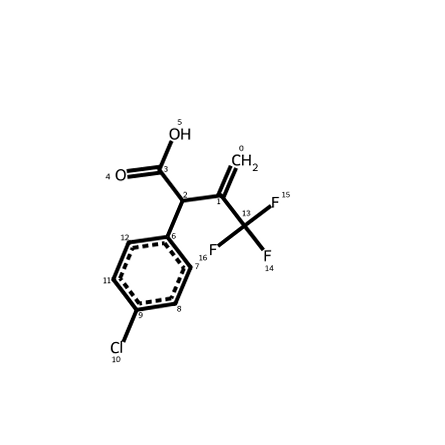 C=C(C(C(=O)O)c1ccc(Cl)cc1)C(F)(F)F